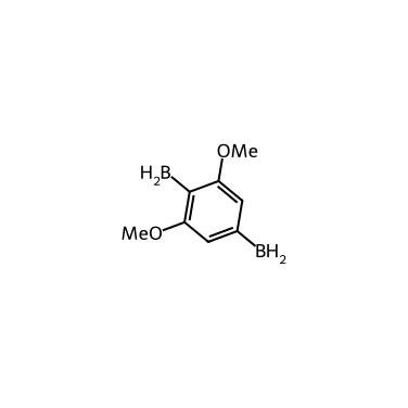 Bc1cc(OC)c(B)c(OC)c1